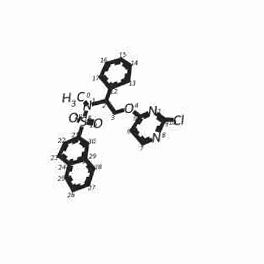 CN(C(COc1ccnc(Cl)n1)c1ccccc1)S(=O)(=O)c1ccc2ccccc2c1